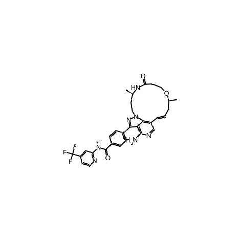 C[C@@H]1CCn2nc(-c3ccc(C(=O)Nc4cc(C(F)(F)F)ccn4)cc3)c3c(N)ncc(c32)/C=C/C[C@H](C)OCCC(=O)N1